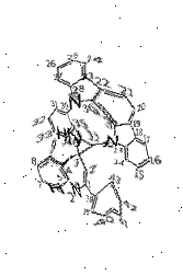 N/C(=C\[C@]1(c2ccccc2)NC1n1c2ccccc2c2ccc3c4ccccc4n(-c4ccccc4)c3c21)c1ccccc1